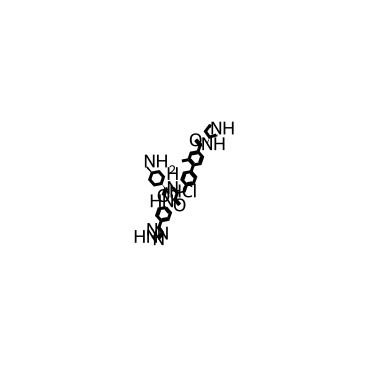 Cc1cc(C(=O)N[C@@H]2CCNC2)ccc1-c1ccc(C[C@H](NC(=O)[C@H]2CC[C@H](CN)CC2)C(=O)Nc2ccc(-c3nn[nH]n3)cc2)cc1.Cl